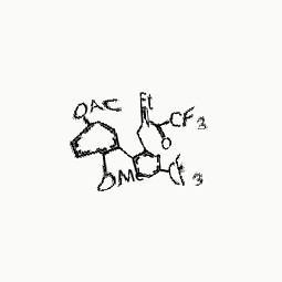 CCN(Cc1cc(C(F)(F)F)ccc1-c1cc(OC(C)=O)ccc1OC)C(=O)C(F)(F)F